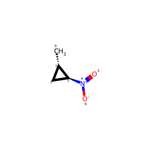 C[C@H]1C[C@@H]1[N+](=O)[O-]